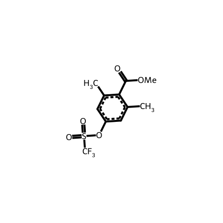 COC(=O)c1c(C)cc(OS(=O)(=O)C(F)(F)F)cc1C